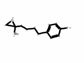 CC(C)(C)C1(CCCCc2ccc(F)cc2)CO1